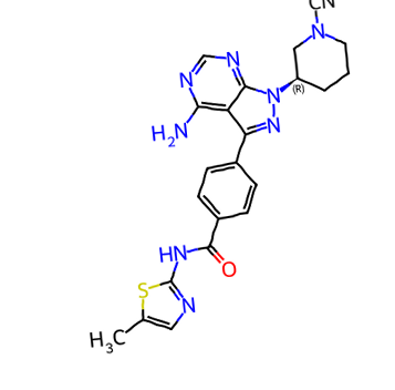 Cc1cnc(NC(=O)c2ccc(-c3nn([C@@H]4CCCN(C#N)C4)c4ncnc(N)c34)cc2)s1